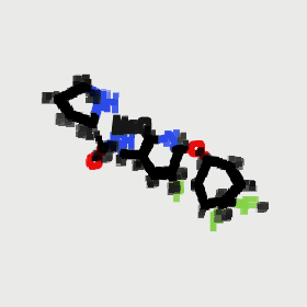 COc1nc(OC2CCC(F)(F)CC2)c(F)cc1CNC(=O)[C@@H]1CCCN1